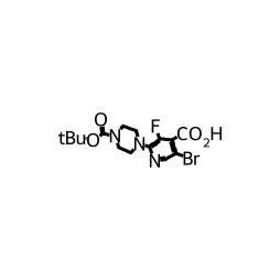 CC(C)(C)OC(=O)N1CCN(c2ncc(Br)c(C(=O)O)c2F)CC1